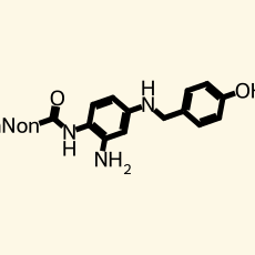 CCCCCCCCCC(=O)Nc1ccc(NCc2ccc(O)cc2)cc1N